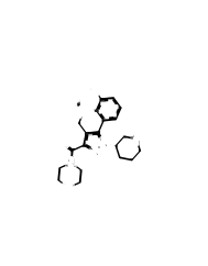 Cc1cccc2c1[S+]([O-])Cc1c(C(=O)N3CCOCC3)nn([C@H]3CCCNC3)c1-2